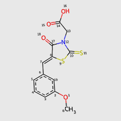 COc1cccc(/C=C2\SC(=S)N(CC(=O)O)C2=O)c1